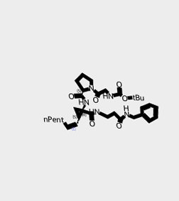 CCCCC/C=C\[C@@H]1C[C@]1(NC(=O)[C@@H]1CCCN1C(=O)CNC(=O)OC(C)(C)C)C(=O)NCCC(=O)NCc1ccccc1